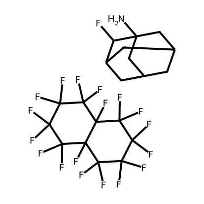 FC1(F)C(F)(F)C(F)(F)C2(F)C(F)(F)C(F)(F)C(F)(F)C(F)(F)C2(F)C1(F)F.NC12CC3CC(CC(C3)C1F)C2